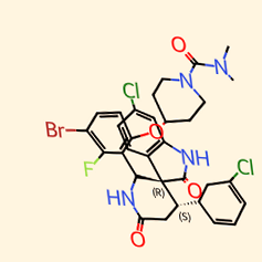 CN(C)C(=O)N1CCC(Oc2ccc(Br)c(F)c2C2NC(=O)C[C@@H](C3C=CC=C(Cl)C3)[C@]23C(=O)Nc2cc(Cl)ccc23)CC1